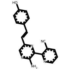 N#Cc1cccnc1-c1nc(C=Cc2ccc(O)cc2)cnc1N